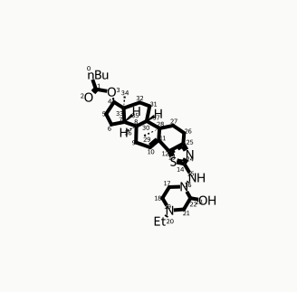 CCCCC(=O)O[C@H]1CC[C@H]2[C@@H]3CC=C4c5sc(NN6CCN(CC)CC6O)nc5CC[C@]4(C)[C@H]3CC[C@]12C